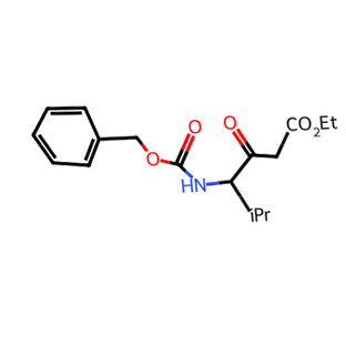 CCOC(=O)CC(=O)C(NC(=O)OCc1ccccc1)C(C)C